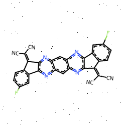 N#CC(C#N)=C1c2ccc(F)cc2-c2nc3cc4nc5c(nc4cc3nc21)-c1cc(F)ccc1C5=C(C#N)C#N